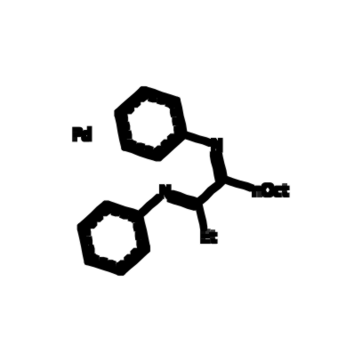 CCCCCCCCC(=Nc1ccccc1)C(CC)=Nc1ccccc1.[Pd]